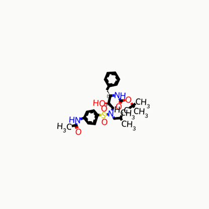 CC(=O)Nc1ccc(S(=O)(=O)N(CC(C)C)C[C@@H](O)[C@H](Cc2ccccc2)NC(=O)OC(C)(C)C)cc1